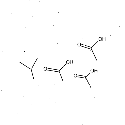 CC(=O)O.CC(=O)O.CC(=O)O.CC(C)C